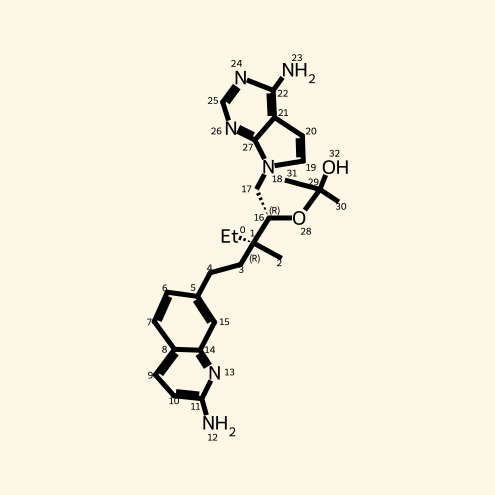 CC[C@](C)(CCc1ccc2ccc(N)nc2c1)[C@H](Cn1ccc2c(N)ncnc21)OC(C)(C)O